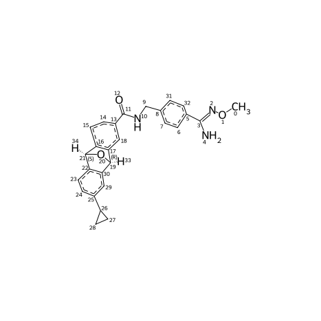 CON=C(N)c1ccc(CNC(=O)c2ccc3c(c2)[C@@H]2O[C@H]3c3ccc(C4CC4)cc32)cc1